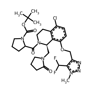 Cn1nnc(COc2ccc(Cl)c3c2[C@@H](CN2CCCC2=O)N(C(=O)C2CCCN2C(=O)OC(C)(C)C)CC3)c1C(F)F